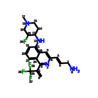 C=C(c1nc(/C=C/CN)cc2c(N[C@@H]3CCN(C)C[C@@H]3F)cccc12)C(F)(F)F